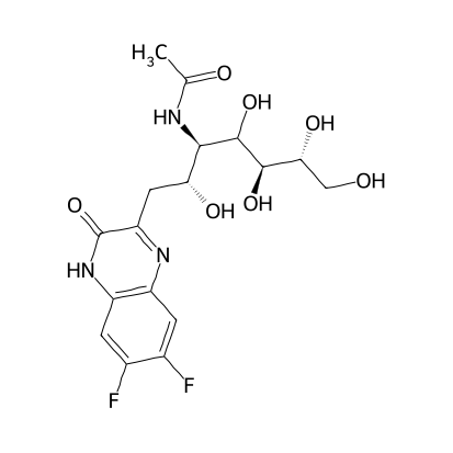 CC(=O)N[C@@H](C(O)[C@H](O)[C@H](O)CO)[C@H](O)Cc1nc2cc(F)c(F)cc2[nH]c1=O